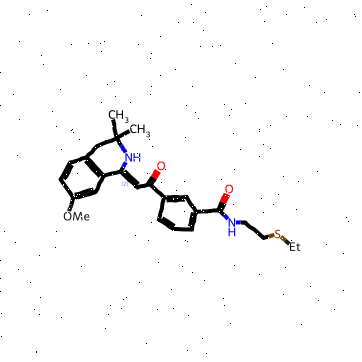 CCSCCNC(=O)c1cccc(C(=O)/C=C2\NC(C)(C)Cc3ccc(OC)cc32)c1